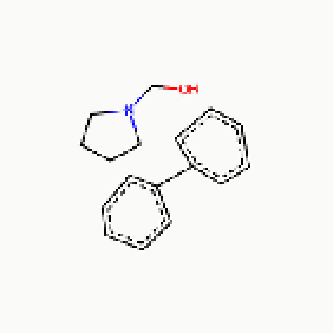 OCN1CCCC1.c1ccc(-c2ccccc2)cc1